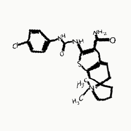 C[N+]1(C)CCCC12CCc1c(sc(NC(=O)Nc3ccc(Cl)cc3)c1C(N)=O)C2